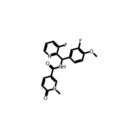 COc1ccc(C(NC(=O)c2ccc(=O)n(C)c2)c2ncccc2F)cc1F